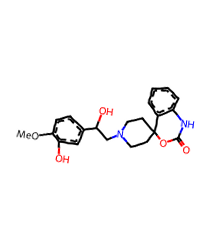 COc1ccc(C(O)CN2CCC3(CC2)OC(=O)Nc2ccccc23)cc1O